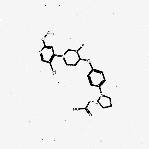 COc1cc(N2CCC(Oc3ccc(N4CCC[C@@H]4CC(=O)O)cc3)C(F)C2)c(Cl)cn1